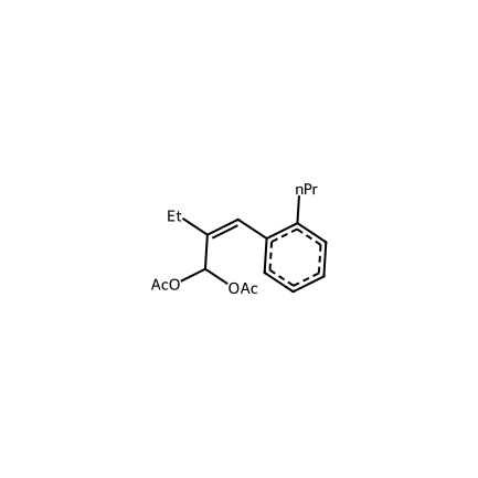 CCCc1ccccc1C=C(CC)C(OC(C)=O)OC(C)=O